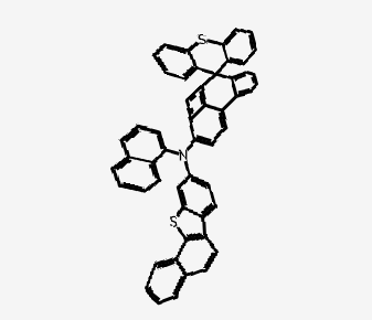 c1ccc2c(c1)Sc1ccccc1C21c2ccccc2-c2ccc(N(c3ccc4c(c3)sc3c5ccccc5ccc43)c3cccc4ccccc34)c3cccc1c23